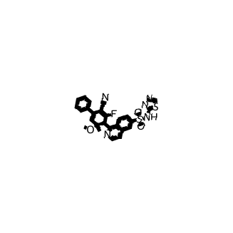 COC1(C)C=C(c2ccccc2)C(C#N)=C(F)C1c1nccc2cc(S(=O)(=O)Nc3nncs3)ccc12